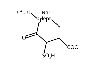 CCCCCCCC.CCCCCOC(=O)C(CC(=O)[O-])S(=O)(=O)O.[Na+]